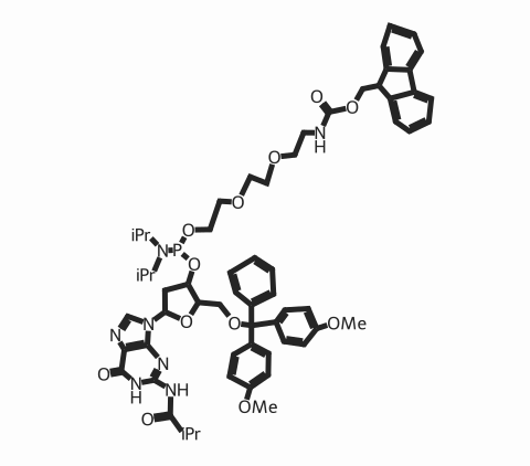 COc1ccc(C(OCC2OC(n3cnc4c(=O)[nH]c(NC(=O)C(C)C)nc43)CC2OP(OCCOCCOCCNC(=O)OCC2c3ccccc3-c3ccccc32)N(C(C)C)C(C)C)(c2ccccc2)c2ccc(OC)cc2)cc1